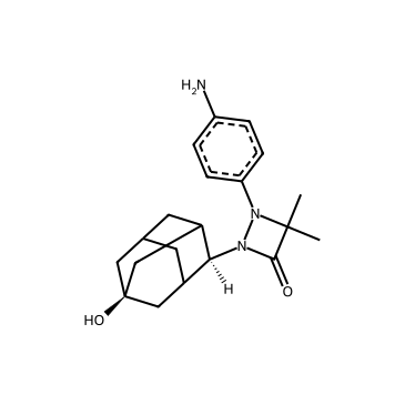 CC1(C)C(=O)N([C@H]2C3CC4CC2C[C@@](O)(C4)C3)N1c1ccc(N)cc1